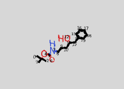 CC(C)(C)OC(=O)NCCC[C@@H](O)Cc1ccccc1